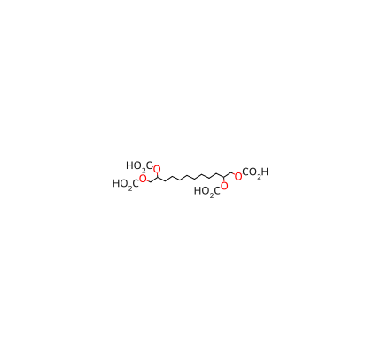 O=C(O)OCC(CCCCCCCCC(COC(=O)O)OC(=O)O)OC(=O)O